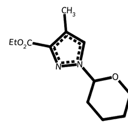 CCOC(=O)c1nn(C2CCCCO2)cc1C